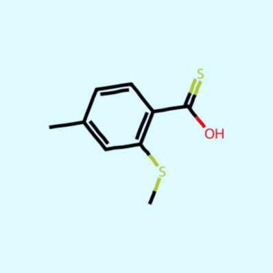 CSc1cc(C)ccc1C(O)=S